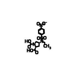 CCN([C@@H]1C[C@@H](C(=O)O)N(C(=O)O)C1)S(=O)(=O)c1ccc([N+](=O)[O-])cc1